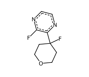 Fc1nccnc1C1(F)CCOCC1